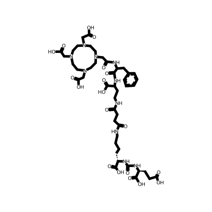 O=C(O)CC[C@H](NC(=O)N[C@@H](CCCCNC(=O)CCC(=O)NCCC(NC(=O)C(Cc1ccccc1)NC(=O)CN1CCN(CC(=O)O)CCN(CC(=O)O)CCN(CC(=O)O)CC1)C(=O)O)C(=O)O)C(=O)O